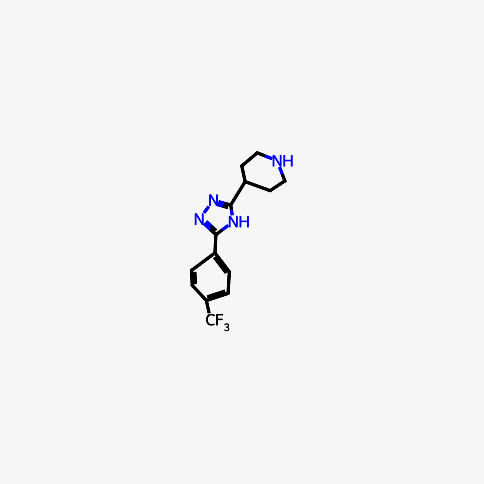 FC(F)(F)c1ccc(-c2nnc(C3CCNCC3)[nH]2)cc1